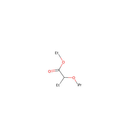 CCOC(=O)C(CC)OC(C)C